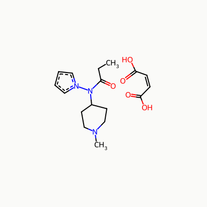 CCC(=O)N(C1CCN(C)CC1)n1cccc1.O=C(O)/C=C\C(=O)O